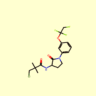 CC(C)(CCl)C(=O)NC1CCN(c2cccc(OC(F)(F)CF)c2)C1=O